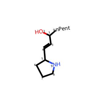 CCCCCC(O)C=CC1CCCN1